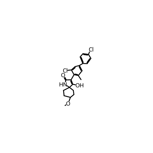 COC1CCC2(CC1)NC(=O)C(c1c(C)cc(-c3ccc(Cl)cc3)cc1Cl)=C2O